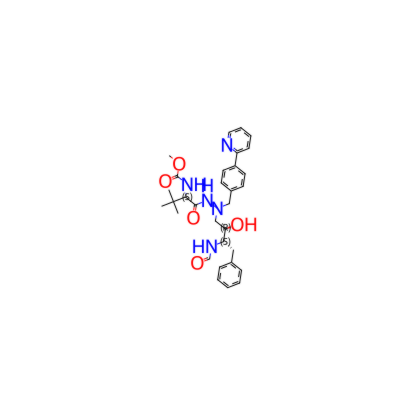 COC(=O)N[C@H](C(=O)NN(Cc1ccc(-c2ccccn2)cc1)C[C@@H](O)[C@H](Cc1ccccc1)NC=O)C(C)(C)C